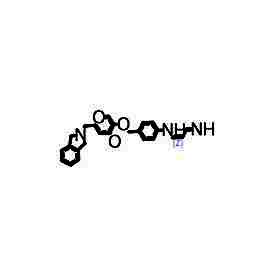 N=C/C=C\Nc1ccc(COc2coc(CN3Cc4ccccc4C3)cc2=O)cc1